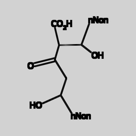 CCCCCCCCCC(O)CC(=O)C(C(=O)O)C(O)CCCCCCCCC